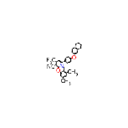 Cc1ccc(Cn2c(-c3ccc(Oc4ccc5c(c4)CCCC5)cc3)cc(C(F)(F)F)c(C#N)c2=O)c(C)c1